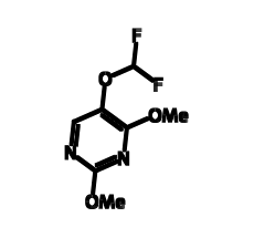 COc1ncc(OC(F)F)c(OC)n1